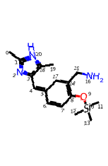 Cc1nc(C=C2C=CC(O[Si](C)(C)C)=C(CN)C2)c(C)[nH]1